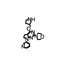 c1cncc(N2CCc3c(OCC4CCNC4)nc(N4CCOCC4)nc32)c1